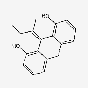 CCC(C)=C1c2c(O)cccc2Cc2cccc(O)c21